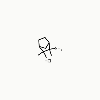 CC1(C)C2CCC(C2)C1(C)N.Cl